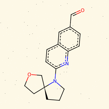 O=Cc1ccc2nc(N3CCC[C@]34CCOC4)ccc2c1